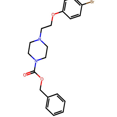 O=C(OCc1ccccc1)N1CCN(CCOc2ccc(Br)cc2)CC1